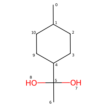 CC1CCC(C(C)(O)O)CC1